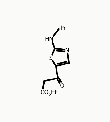 CCOC(=O)CC(=O)c1cnc(NC(C)C)s1